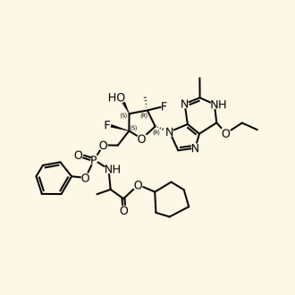 CCOC1NC(C)=Nc2c1ncn2[C@@H]1O[C@](F)(COP(=O)(NC(C)C(=O)OC2CCCCC2)Oc2ccccc2)[C@@H](O)[C@@]1(C)F